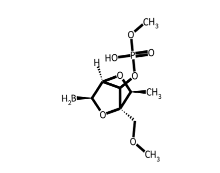 B[C@@H]1O[C@@]2(COC)C(OP(=O)(O)OC)[C@@H]1O[C@H]2C